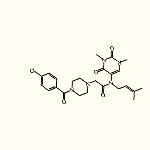 CC(C)=CCN(C(=O)CN1CCN(C(=O)c2ccc(Cl)cc2)CC1)c1cn(C)c(=O)n(C)c1=O